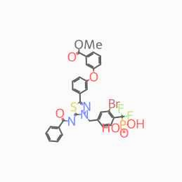 COC(=O)c1cccc(Oc2cccc(-c3nn(Cc4ccc(C(F)(F)P(=O)(O)O)c(Br)c4)/c(=N/C(=O)c4ccccc4)s3)c2)c1